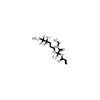 C=CC(=O)OC(OCCCC(F)(F)C(F)(F)S(=O)(=O)O)(C(=O)NCC(C)=O)C(F)(F)F